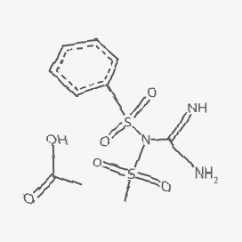 CC(=O)O.CS(=O)(=O)N(C(=N)N)S(=O)(=O)c1ccccc1